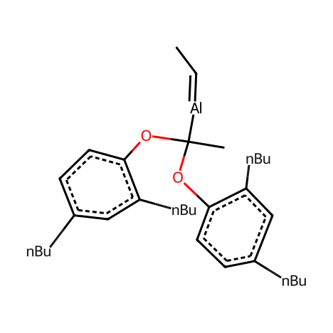 C[CH]=[Al][C](C)(Oc1ccc(CCCC)cc1CCCC)Oc1ccc(CCCC)cc1CCCC